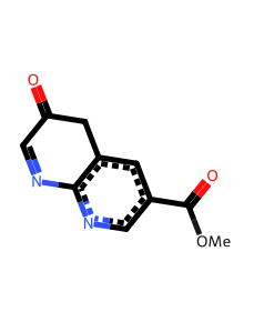 COC(=O)c1cnc2c(c1)CC(=O)C=N2